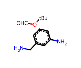 CC(C)(C)OC=O.NCc1cccc(N)c1